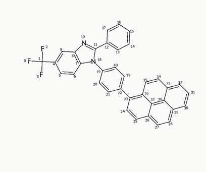 FC(F)(F)c1ccc2c(c1)nc(-c1ccccc1)n2-c1ccc(-c2ccc3ccc4cccc5ccc2c3c45)cc1